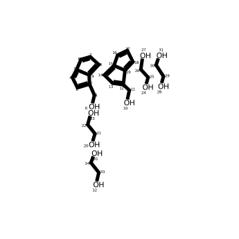 OCC1=CC=C2C=CC=C21.OCC1=CC=C2C=CC=C21.OCCO.OCCO.OCCO.OCCO